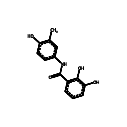 Cc1cc(NC(=O)c2cccc(O)c2O)ccc1O